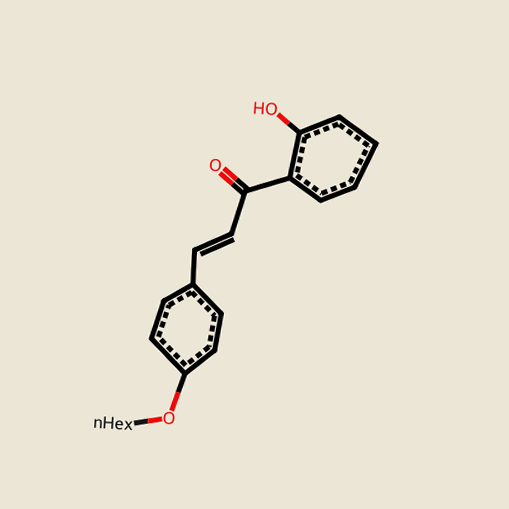 CCCCCCOc1ccc(C=CC(=O)c2ccccc2O)cc1